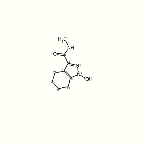 CNC(=O)c1nn(O)c2c1CCCC2